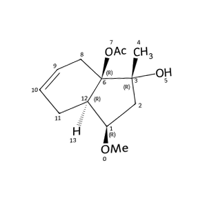 CO[C@@H]1C[C@@](C)(O)[C@@]2(OC(C)=O)CC=CC[C@H]12